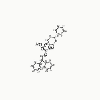 O=C(N[C@]1(C(=O)O)CC[C@@H](c2ccccc2)CC1)OCC1c2ccccc2-c2ccccc21